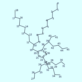 CCCCCCCCCCC(CCCCCCCC)Cc1c[c]([Sn]([CH2]CCC)([CH2]CCC)[CH2]CCC)sc1CC(CC)CCCC